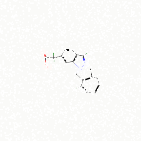 CC1=C(Cn2nc(Cl)c3ccc(C(F)(F)C(=O)O)cc32)C(Cl)=CC=CC1